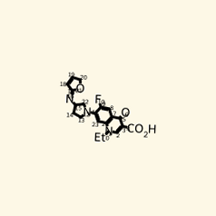 CCn1cc(C(=O)O)c(=O)c2cc(F)c(N3CCC(N=C4C=CCO4)C3)cc21